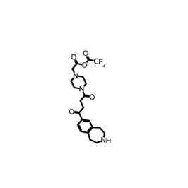 O=C(CN1CCN(C(=O)CCC(=O)c2ccc3c(c2)CCNCC3)CC1)OC(=O)C(F)(F)F